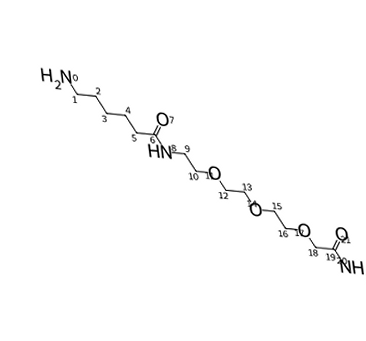 NCCCCCC(=O)NCCOCCOCCOCC(N)=O